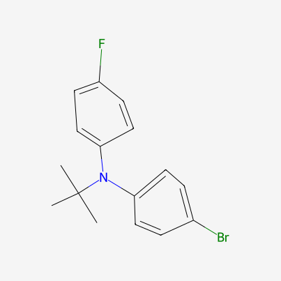 CC(C)(C)N(c1ccc(F)cc1)c1ccc(Br)cc1